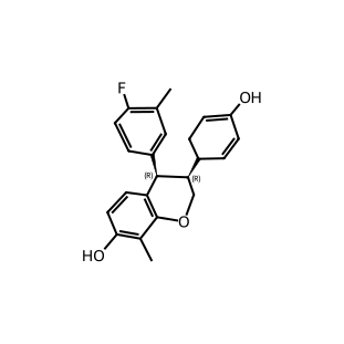 Cc1cc([C@@H]2c3ccc(O)c(C)c3OC[C@@H]2C2C=CC(O)=CC2)ccc1F